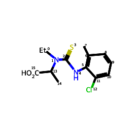 CCN(C(=S)Nc1c(C)cccc1Cl)C(C)C(=O)O